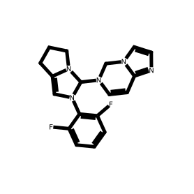 Fc1cccc(F)c1N1C=C2CCCN2C1N1C=Cc2nccn2C1